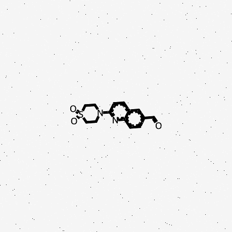 O=Cc1ccc2nc(N3CCS(=O)(=O)CC3)ccc2c1